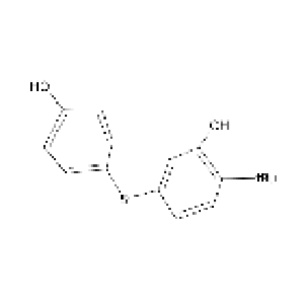 CC(C)(C)c1ccc(Sc2ccc(O)cc2)cc1O